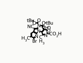 Cc1cc2c(C#N)c(N(C(=O)OC(C)(C)C)C(=O)OC(C)(C)C)n(-c3c(C)nn(C(=O)O)c(=O)c3C)c2nc1Br